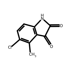 Cc1c(Cl)ccc2c1C(=O)C(=O)N2